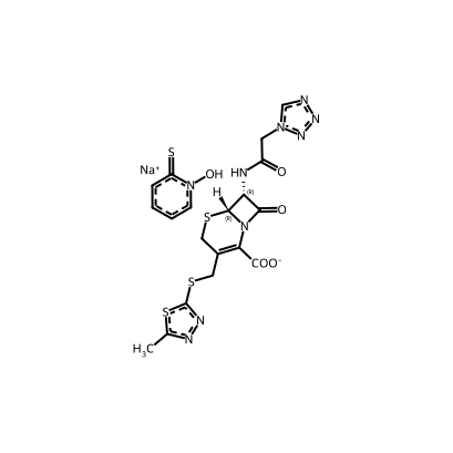 Cc1nnc(SCC2=C(C(=O)[O-])N3C(=O)[C@@H](NC(=O)Cn4cnnn4)[C@H]3SC2)s1.On1ccccc1=S.[Na+]